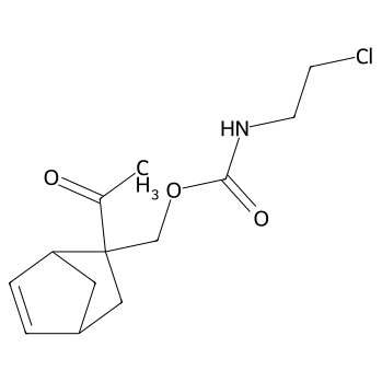 CC(=O)C1(COC(=O)NCCCl)CC2C=CC1C2